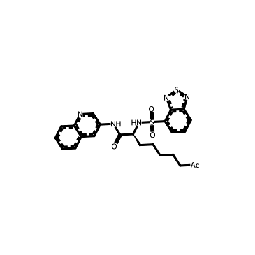 CC(=O)CCCCC[C@H](NS(=O)(=O)c1cccc2nsnc12)C(=O)Nc1cnc2ccccc2c1